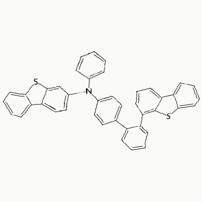 c1ccc(N(c2ccc(-c3ccccc3-c3cccc4c3sc3ccccc34)cc2)c2ccc3c(c2)sc2ccccc23)cc1